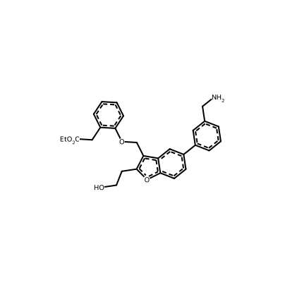 CCOC(=O)Cc1ccccc1OCc1c(CCO)oc2ccc(-c3cccc(CN)c3)cc12